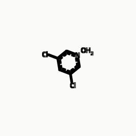 Clc1cncc(Cl)c1.O